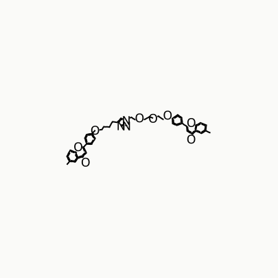 Cc1ccc2oc(-c3ccc(OCCCCc4cn(CCOCCOCCOc5ccc(-c6cc(=O)c7cc(C)ccc7o6)cc5)nn4)cc3)cc(=O)c2c1